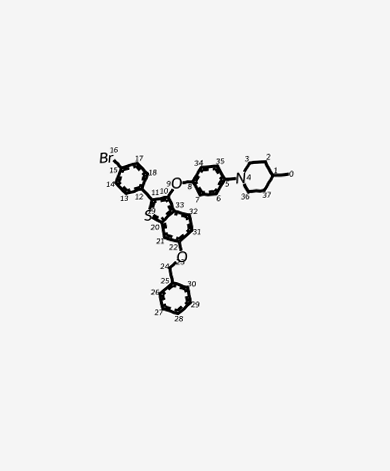 CC1CCN(c2ccc(Oc3c(-c4ccc(Br)cc4)sc4cc(OCc5ccccc5)ccc34)cc2)CC1